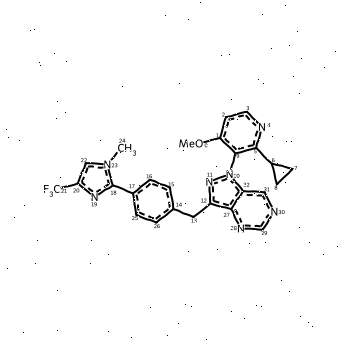 COc1ccnc(C2CC2)c1-n1nc(Cc2ccc(-c3nc(C(F)(F)F)cn3C)cc2)c2ncncc21